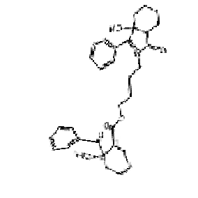 O=C(OCCCCOC(=O)[C@H]1CCCC[C@]1(O)C(=O)c1ccccc1)C1CCCCC1(O)C(=O)c1ccccc1